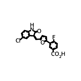 O=C1Nc2ccc(Cl)cc2/C1=C/c1ccc(-c2cc(C(=O)O)ccc2F)o1